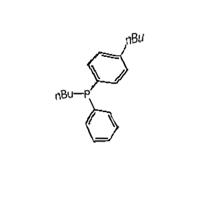 CCCCc1ccc(P(CCCC)c2ccccc2)cc1